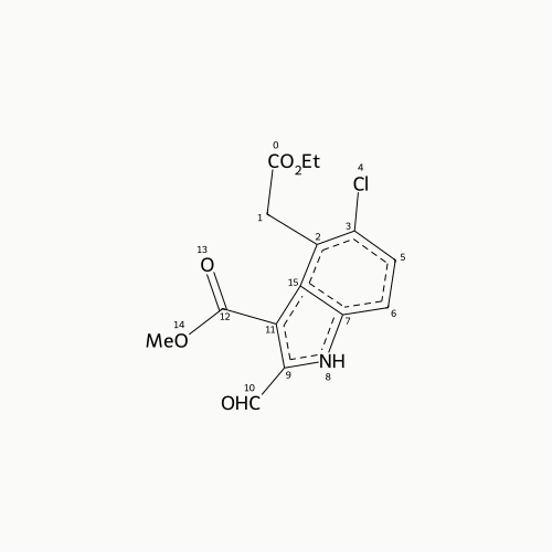 CCOC(=O)Cc1c(Cl)ccc2[nH]c(C=O)c(C(=O)OC)c12